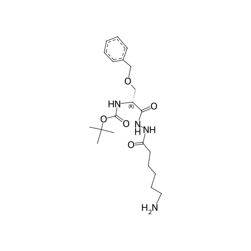 CC(C)(C)OC(=O)N[C@H](COCc1ccccc1)C(=O)NNC(=O)CCCCCN